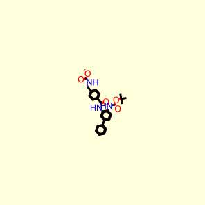 COC(=O)NCc1ccc(C(=O)Nc2cc(-c3ccccc3)ccc2NC(=O)OC(C)(C)C)cc1